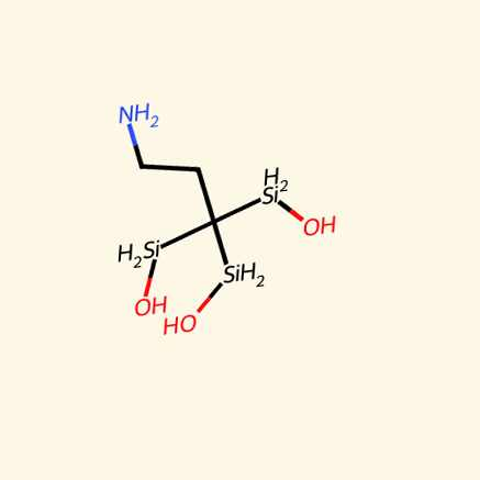 NCCC([SiH2]O)([SiH2]O)[SiH2]O